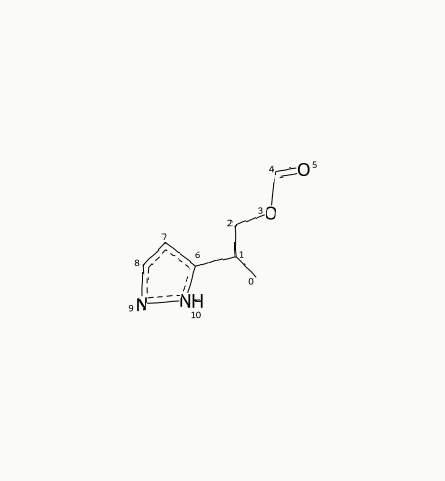 CC(COC=O)c1ccn[nH]1